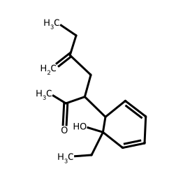 C=C(CC)CC(C(C)=O)C1C=CC=CC1(O)CC